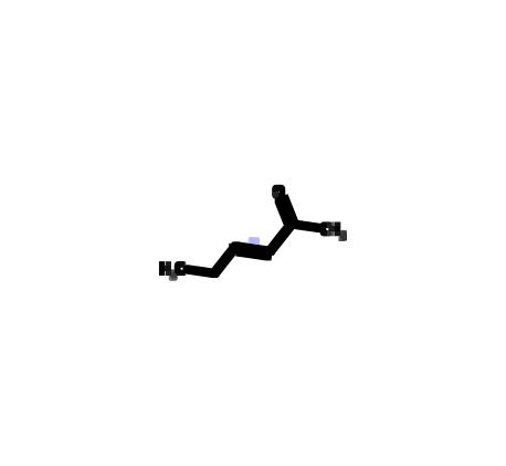 CC/[C]=C/C(C)=O